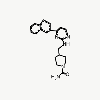 NC(=O)N1CCC(CNc2nccc(-c3ccc4ccccc4c3)n2)CC1